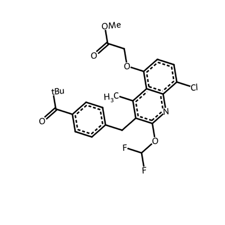 COC(=O)COc1ccc(Cl)c2nc(OC(F)F)c(Cc3ccc(C(=O)C(C)(C)C)cc3)c(C)c12